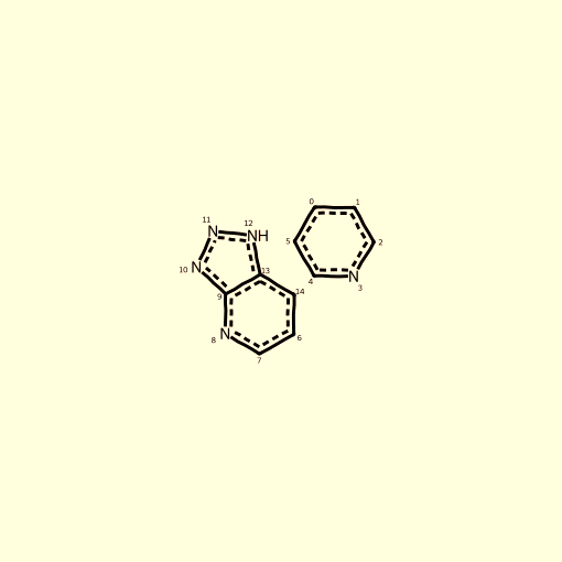 c1ccncc1.c1cnc2nn[nH]c2c1